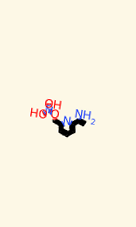 C=C(N)c1cccc(CON(O)O)n1